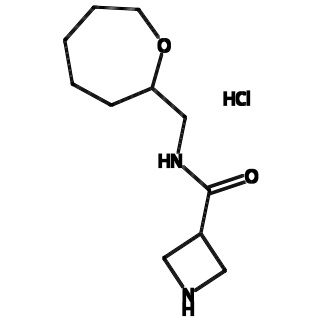 Cl.O=C(NCC1CCCCCO1)C1CNC1